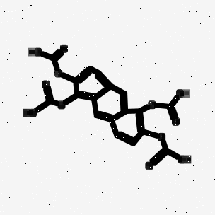 O=C(O)Oc1ccc2cc3c(OC(=O)O)c(OC(=O)O)ccc3cc2c1OC(=O)O